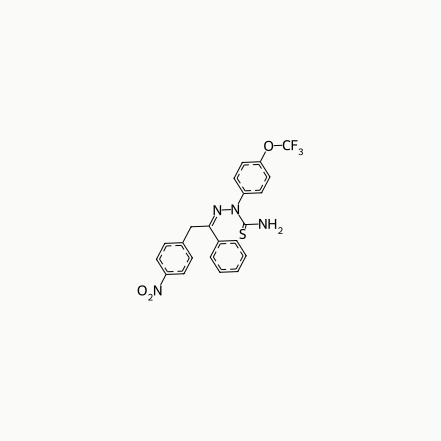 NC(=S)N(/N=C(/Cc1ccc([N+](=O)[O-])cc1)c1ccccc1)c1ccc(OC(F)(F)F)cc1